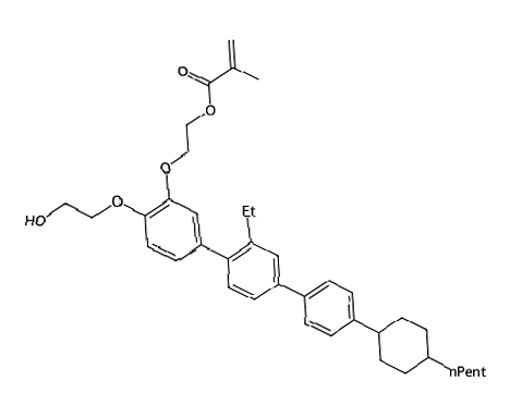 C=C(C)C(=O)OCCOc1cc(-c2ccc(-c3ccc(C4CCC(CCCCC)CC4)cc3)cc2CC)ccc1OCCO